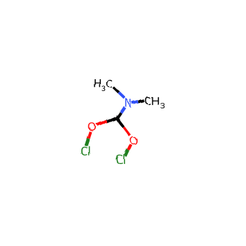 CN(C)C(OCl)OCl